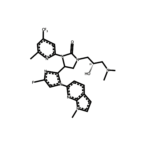 Cc1cc(C(F)(F)F)cc(N2C(=O)N(C[C@@H](O)CN(C)C)CC2c2nc(F)cn2-c2ccc3ccn(C)c3n2)n1